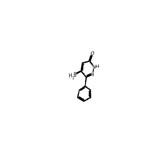 Bc1cc(=O)[nH]nc1-c1ccccc1